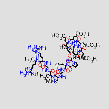 CSC[C@H](NC(=O)CNC(=O)[C@H](CC(C)C)NC(=O)[C@@H]1CCCN1C(=O)COCCNC(=O)[C@@H](CCC(=O)O)NC(=O)[C@@H](CCC(=O)O)NC(=O)[C@@H](CCC(=O)O)NC(=O)[C@@H](CCC(=O)O)NC(=O)[C@@H](CCC(=O)O)NC(C)=O)C(=O)N[C@@H](C)C(=O)NCC(=O)N[C@H](CCCNC(=N)N)C(=O)N[C@@H](C)CCCNC(=N)N